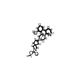 CCOC(=O)N1CC2(CC[C@@H](N3CCN(c4ncccc4-c4cccc(OC)c4)CC3)C2)C1